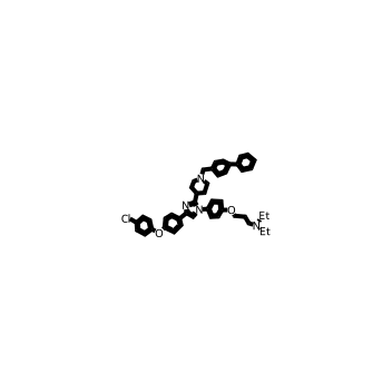 CCN(CC)CCCOc1ccc(-n2cc(-c3ccc(Oc4ccc(Cl)cc4)cc3)nc2C2CCN(Cc3ccc(-c4ccccc4)cc3)CC2)cc1